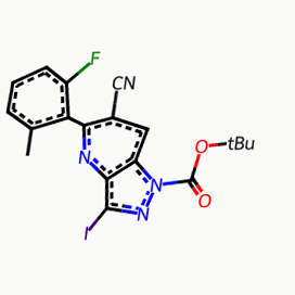 Cc1cccc(F)c1-c1nc2c(I)nn(C(=O)OC(C)(C)C)c2cc1C#N